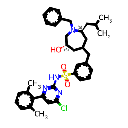 Cc1cccc(C)c1-c1cc(Cl)nc(NS(=O)(=O)c2cccc(CC3C[C@H](O)CN(Cc4ccccc4)[C@@H](CC(C)C)C3)c2)n1